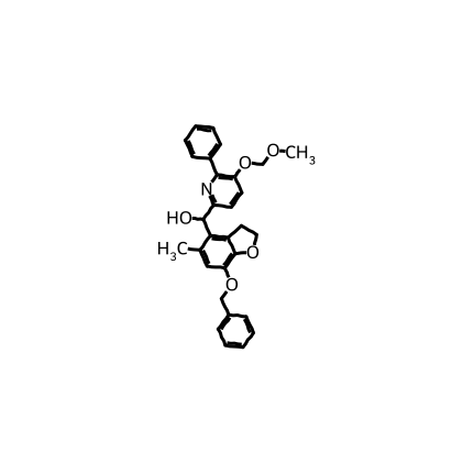 COCOc1ccc(C(O)c2c(C)cc(OCc3ccccc3)c3c2CCO3)nc1-c1ccccc1